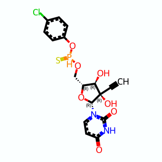 C#C[C@@]1(O)[C@H](O)[C@@H](CO[PH](=S)Oc2ccc(Cl)cc2)O[C@H]1n1ccc(=O)[nH]c1=O